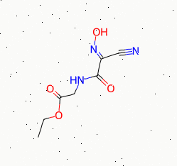 CCOC(=O)CNC(=O)C(C#N)=NO